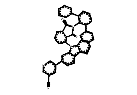 N#Cc1cncc(-c2ccc3c4ccccc4n(-c4cccc5c4C(=O)N(c4c(-c6ccccc6)cccc4-c4ccccc4)C5=O)c3c2)c1